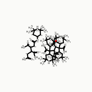 CC1(C)CC(C(C(=O)O)(C2CC(C)(C)NC(C)(C)C2)C(C(=O)O)C(C(=O)O)C(C(=O)O)(C2CC(C)(C)NC(C)(C)C2)C2CC(C)(C)NC(C)(C)C2)CC(C)(C)N1.CC1(C)CC(OC(=O)CC(C(=O)O)C(CC(=O)O)C(=O)O)CC(C)(C)N1